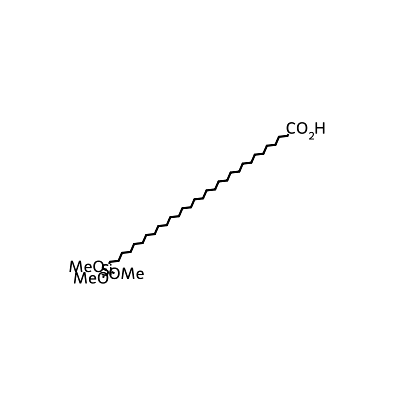 CO[Si](CCCCCCCCCCCCCCCCCCCCCCCCCCCCCCC(=O)O)(OC)OC